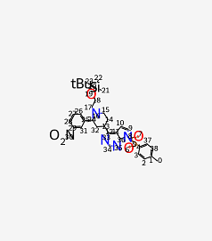 Cc1ccc(S(=O)(=O)n2ccc3c(C4CCN(CCO[Si](C)(C)C(C)(C)C)C(c5cccc([N+](=O)[O-])c5)C4)ncnc32)cc1